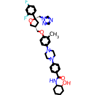 Cc1cc(N2CCN(c3ccc(C(=O)N[C@@H]4CCCC[C@@H]4O)cc3)CC2)ccc1OC[C@@H]1CO[C@@](Cn2cncn2)(c2ccc(F)cc2F)C1